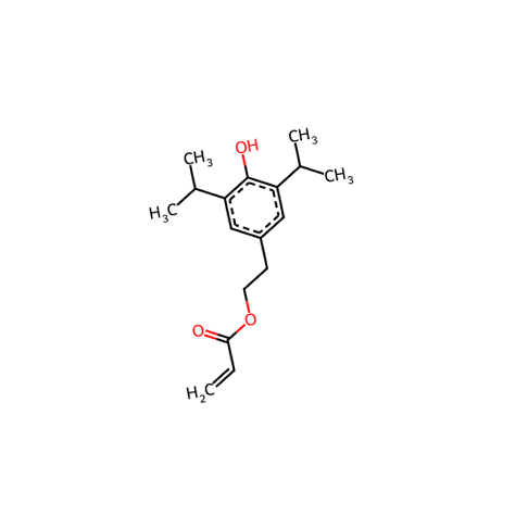 C=CC(=O)OCCc1cc(C(C)C)c(O)c(C(C)C)c1